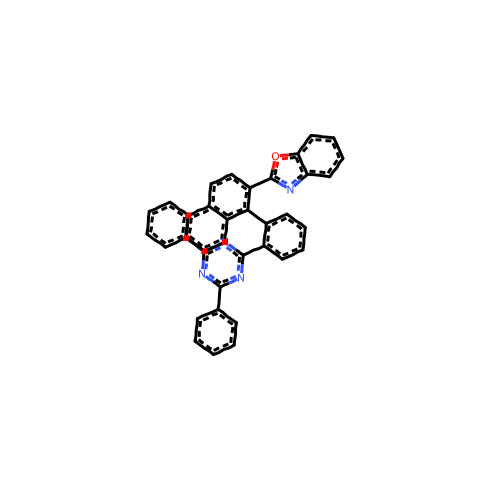 c1ccc(-c2nc(-c3ccccc3)nc(-c3ccccc3-c3c(-c4nc5ccccc5o4)ccc4ccccc34)n2)cc1